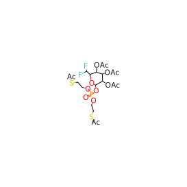 CC(=O)OC1C(OP(=O)(OCCSC(C)=O)OCCSC(C)=O)OC(C(F)F)C(OC(C)=O)C1OC(C)=O